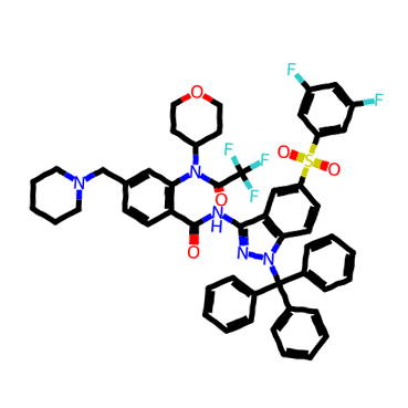 O=C(Nc1nn(C(c2ccccc2)(c2ccccc2)c2ccccc2)c2ccc(S(=O)(=O)c3cc(F)cc(F)c3)cc12)c1ccc(CN2CCCCC2)cc1N(C(=O)C(F)(F)F)C1CCOCC1